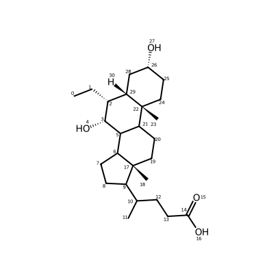 CC[C@H]1[C@@H](O)C2C3CCC(C(C)CCC(=O)O)[C@@]3(C)CCC2[C@@]2(C)CC[C@@H](O)C[C@@H]12